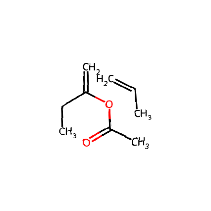 C=C(CC)OC(C)=O.C=CC